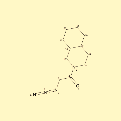 [N-]=[N+]=NCC(=O)N1CCC2CCCCC2C1